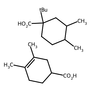 CC1=C(C)CC(C(=O)O)CC1.CC1CCC(C(=O)O)(C(C)(C)C)CC1C